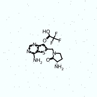 Nc1ncnc2cc(CN3CC[C@H](N)C3=O)sc12.O=C(O)C(F)(F)F